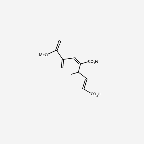 C=C(C=C(C(=O)O)C(C)C=CC(=O)O)C(=O)OC